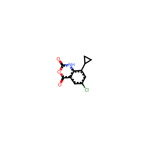 O=c1[nH]c2c(C3CC3)cc(Cl)cc2c(=O)o1